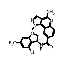 CN(C(=O)c1ccc2nc(N)c3cnn(C)c3c2c1)[C@@H]1COc2cc(C(F)(F)F)cc(Cl)c21